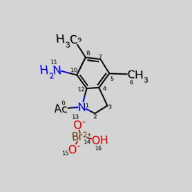 CC(=O)N1CCc2c(C)cc(C)c(N)c21.[O-][Br+2]([O-])O